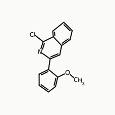 COc1ccccc1-c1cc2ccccc2c(Cl)n1